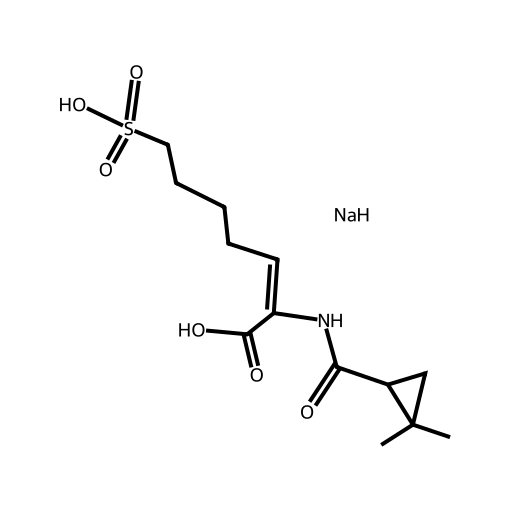 CC1(C)CC1C(=O)NC(=CCCCCS(=O)(=O)O)C(=O)O.[NaH]